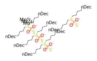 CCCCCCCCCCCCCCS(CCCCCCCCCCCCCC)=P([O-])([O-])[S-].CCCCCCCCCCCCCCS(CCCCCCCCCCCCCC)=P([O-])([O-])[S-].CCCCCCCCCCCCCCS(CCCCCCCCCCCCCC)=P([O-])([O-])[S-].CCCCCCCCCCCCCCS(CCCCCCCCCCCCCC)=P([O-])([O-])[S-].[Mo+4].[Mo+4].[Mo+4]